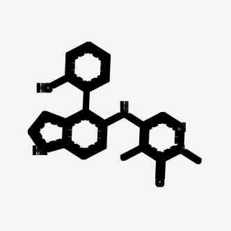 Cc1c(Nc2ccc3[nH]ccc3c2-c2ccccc2O)cnn(C)c1=O